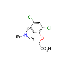 CC(C)N(C(C)C)C(C)C.O=C(O)COc1ccc(Cl)cc1Cl